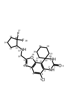 O=C1Nc2c(Cl)cc3nc(CNC4CCCC4(F)F)oc3c2C2(CCCCC2)N1